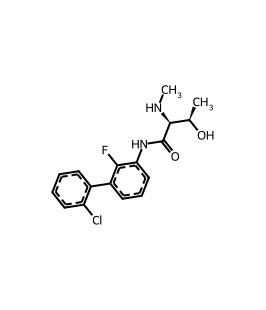 CN[C@H](C(=O)Nc1cccc(-c2ccccc2Cl)c1F)[C@@H](C)O